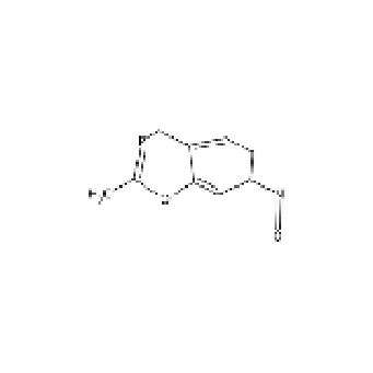 CC1=PCC2=CCC(N=O)C=C2O1